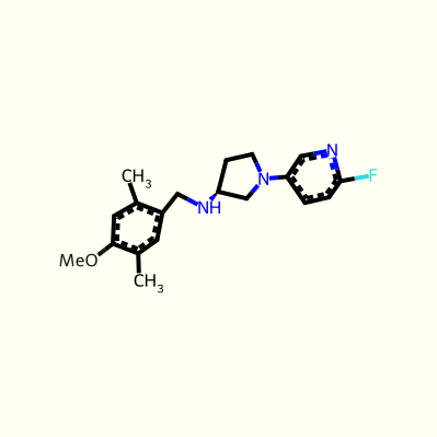 COc1cc(C)c(CN[C@H]2CCN(c3ccc(F)nc3)C2)cc1C